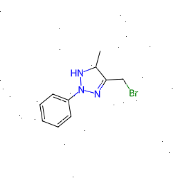 CC1NN(c2ccccc2)N=C1CBr